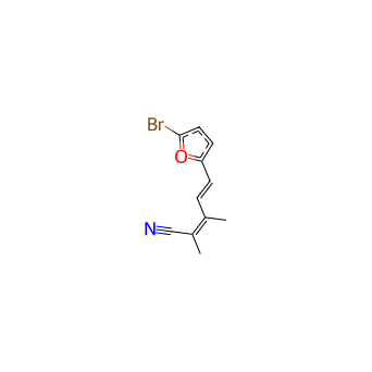 C/C(C#N)=C(C)/C=C/c1ccc(Br)o1